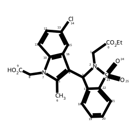 CCOC(=O)CN1C(c2c(C)n(CC(=O)O)c3ccc(Cl)cc23)c2ccccc2S1(=O)=O